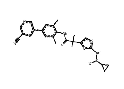 Cc1cc(-c2cncc(C#N)c2)cc(C)c1NC(=O)C(C)(C)c1csc(N[S+]([O-])C2CC2)n1